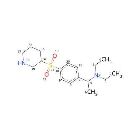 CCN(CC)C(C)c1ccc(S(=O)(=O)C2CCCNC2)cc1